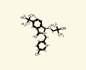 CC(C)(O)CO[C@@H]1c2ccc(C(C)(C)O)cc2C(=O)N1Cc1ccc(Cl)cn1